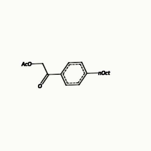 CCCCCCCCc1ccc(C(=O)COC(C)=O)cc1